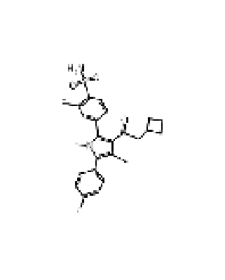 Cc1c(C(=O)CC2CCC2)c(-c2ccc(S(N)(=O)=O)c(F)c2)n(C)c1-c1ccc(Cl)cc1